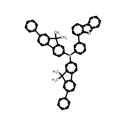 CC1(C)c2cc(-c3ccccc3)ccc2-c2ccc(N(c3cccc(-c4cccc5c4oc4ccccc45)c3)c3ccc4c(c3)C(C)(C)c3cc(-c5ccccc5)ccc3-4)cc21